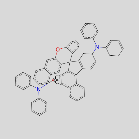 C1=CCCC(N(c2ccccc2)C2C=CC3=C(C2)C2(c4ccccc4Oc4cc5ccccc5cc42)c2c3c3ccccc3c3cc(N(c4ccccc4)c4ccccc4)ccc23)=C1